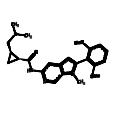 COc1cccc(OC)c1-c1cc2cc(NC(=O)[C@@H]3C[C@H]3CN(C)C)ncc2n1C